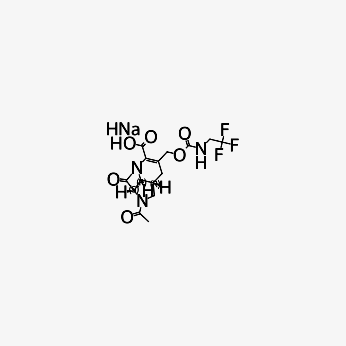 CC(=O)N1C[C@H]2CC(COC(=O)NCC(F)(F)F)=C(C(=O)O)N3C(=O)[C@@H]1[C@@H]23.[NaH]